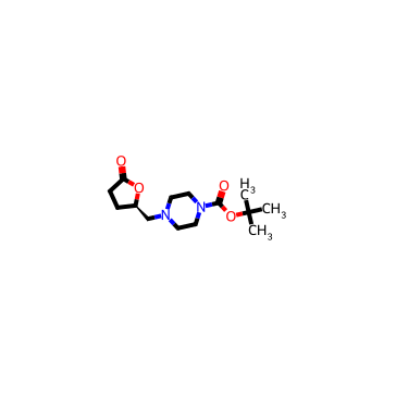 CC(C)(C)OC(=O)N1CCN(C[C@H]2CCC(=O)O2)CC1